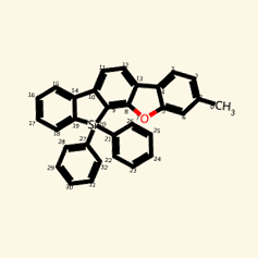 Cc1ccc2c(c1)oc1c3c(ccc12)-c1ccccc1[Si]3(c1ccccc1)c1ccccc1